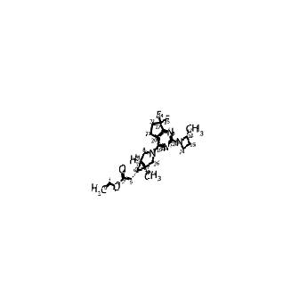 CCOC(=O)C[C@@H]1[C@H]2CN(c3nc(N4CC[C@H]4C)nc4c3CCC4(F)F)C[C@@]12C